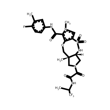 Cc1cc(NC(=O)c2c3c(cn2C)S(=O)(=O)N[C@@H]2CN(C(=O)C(=O)NC(C)C(F)(F)F)C[C@]2(C)CO3)ccc1F